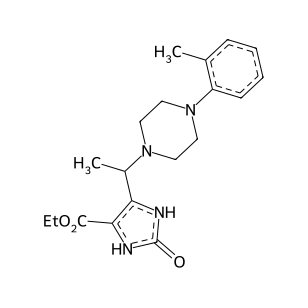 CCOC(=O)c1[nH]c(=O)[nH]c1C(C)N1CCN(c2ccccc2C)CC1